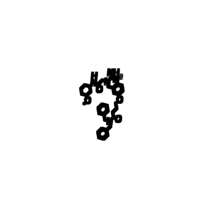 COC1CCCC(NC(=O)CN2Cc3cc(OCCCC(=O)N(Cc4ccccc4)Cc4ccccc4)ccc3N=C2N)C1